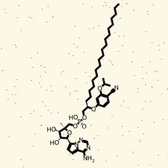 CCCCCCCCCCCCCCCCCCCC[C@H](COP(=O)(O)OC[C@@]1(C)O[C@@H](c2ccc3c(N)ncnn23)[C@H](O)[C@@H]1O)Oc1ccc(C#N)c(OC(C)C)c1